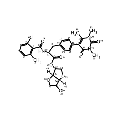 Cc1cccc(Cl)c1C(=O)NC(Cc1ccc(-c2c(C)n(C)c(=O)n(C)c2=O)cc1)C(=O)O[C@H]1CO[C@@H]2C(O)CO[C@H]12